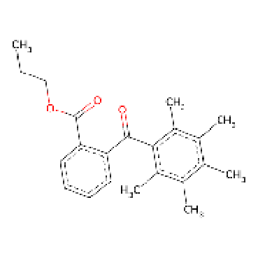 CCCOC(=O)c1ccccc1C(=O)c1c(C)c(C)c(C)c(C)c1C